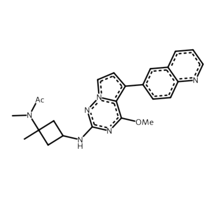 COc1nc(NC2CC(C)(N(C)C(C)=O)C2)nn2ccc(-c3ccc4ncccc4c3)c12